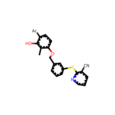 CC(=O)c1ccc(OCc2cccc(Sc3ncccc3C#N)c2)c(C)c1O